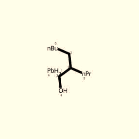 CCCCCC(CO)CCC.[PbH2]